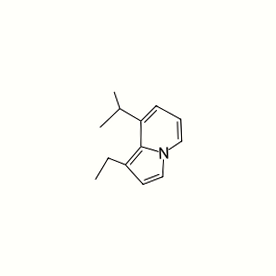 CCc1ccn2cccc(C(C)C)c12